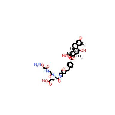 C[C@]12C=CC(=O)C=C1CC[C@@H]1[C@@H]2[C@@H](O)C[C@@]2(C)[C@H]1C[C@H]1O[C@@H](c3ccc(CC4CC5(CO4)CN(C(=O)[C@H](CCC(=O)O)NC(=O)CNC(=O)CON)C5)cc3)O[C@]12C(=O)CO